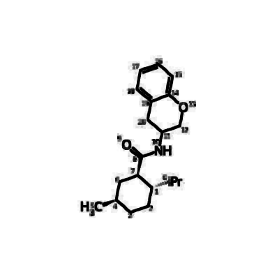 CC(C)[C@@H]1CC[C@@H](C)C[C@H]1C(=O)NC1COc2ccccc2C1